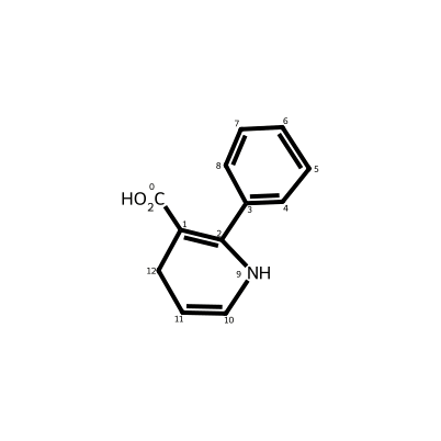 O=C(O)C1=C(c2ccccc2)NC=CC1